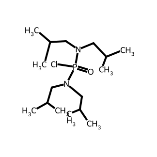 CC(C)CN(CC(C)C)P(=O)(Cl)N(CC(C)C)CC(C)C